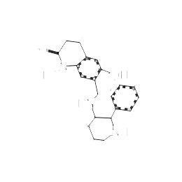 CN1C(=O)CCc2cc(O)c(CNC3CCCNC3c3ccccc3)cc21